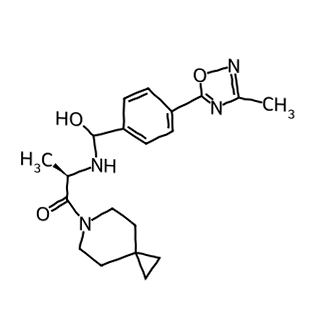 Cc1noc(-c2ccc(C(O)N[C@H](C)C(=O)N3CCC4(CC3)CC4)cc2)n1